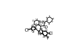 O=C(NC1CCCCC1)C(C1CCCCC1)n1c(-c2ccc(Cl)s2)nc2cc(F)c(Cl)cc21